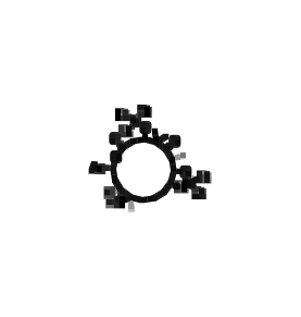 CC[Si](CC)(CC)OC1[C@@H](C)CCC[C@@]2(C)N[C@H]2C[C@@H](C(C)=O)OC(=O)CC(O[Si](CC)(CC)CC)C(C)(C)C(=O)[C@@H]1C